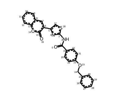 O=C(Nc1nc(-c2cc3ccccc3oc2=O)cs1)c1ccc(OCc2ccccc2)cc1